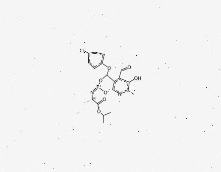 Cc1ncc(C(Oc2ccc(Cl)cc2)O[P+]([O-])=N[C@@H](C)C(=O)OC(C)C)c(C=O)c1O